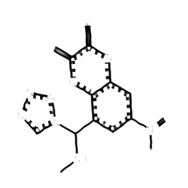 CNC(c1cc([N+](=O)[O-])cc2[nH]c(=O)c(=O)[nH]c12)n1cnnn1